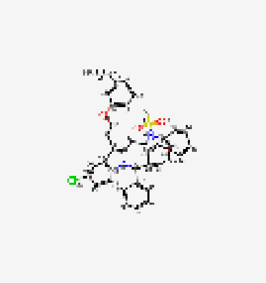 CS(=O)(=O)N(CCc1c(CCOc2cccc(C(=O)O)c2)c2cc(Cl)ccc2n1C(c1ccccc1)c1ccccc1)c1ccccc1